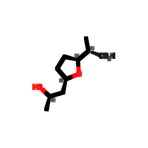 C[C@H](C(=O)O)[C@@H]1CC[C@H](C[C@@H](C)O)O1